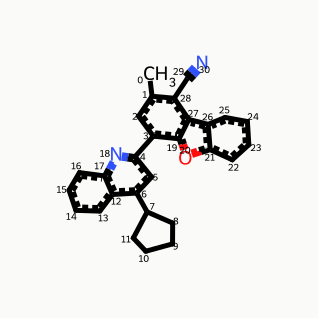 Cc1cc(-c2cc(C3CCCC3)c3ccccc3n2)c2oc3ccccc3c2c1C#N